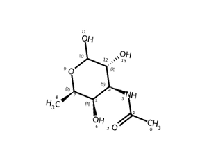 CC(=O)N[C@H]1[C@@H](O)[C@@H](C)OC(O)[C@@H]1O